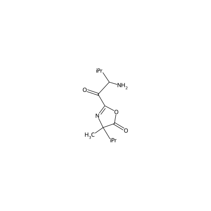 CC(C)C(N)C(=O)C1=NC(C)(C(C)C)C(=O)O1